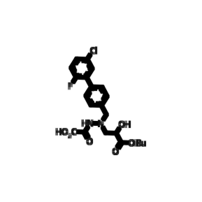 CC(C)COC(=O)C(O)CN(Cc1ccc(-c2cc(Cl)ccc2F)cc1)NC(=O)C(=O)O